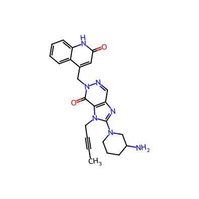 CC#CCn1c(N2CCCC(N)C2)nc2cnn(Cc3cc(=O)[nH]c4ccccc34)c(=O)c21